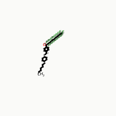 CCCCCCC[C@H]1CC[C@H](CCc2ccc(C(=O)C(F)(F)C(F)(F)C(F)(F)C(F)(F)C(F)(F)C(F)(F)C(F)(F)C(F)(F)F)cc2)CC1